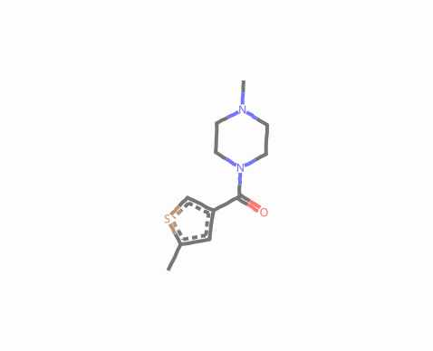 Cc1cc(C(=O)N2CCN(C)CC2)cs1